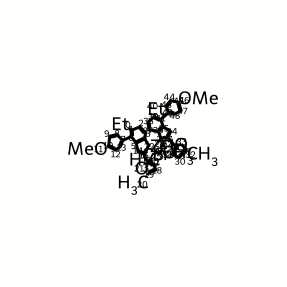 CCc1ccc2c(c1-c1ccc(OC)cc1)C=C(c1ccc(C)o1)[CH]2[Zr]([Cl])([Cl])([CH]1C(c2ccc(C)o2)=Cc2c1ccc(CC)c2-c1ccc(OC)cc1)=[Si](C)C